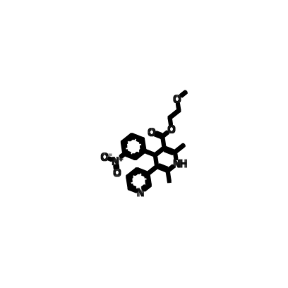 COCCOC(=O)C1=C(C)NC(C)=C(c2cccnc2)C1c1cccc([N+](=O)[O-])c1